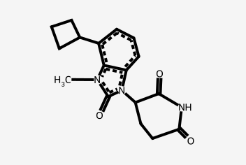 Cn1c(=O)n(C2CCC(=O)NC2=O)c2cccc(C3CCC3)c21